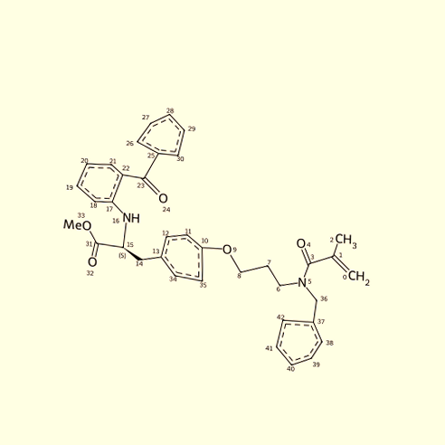 C=C(C)C(=O)N(CCCOc1ccc(C[C@H](Nc2ccccc2C(=O)c2ccccc2)C(=O)OC)cc1)Cc1ccccc1